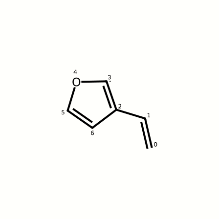 C=Cc1[c]occ1